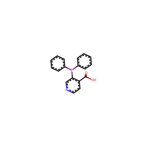 O=C(O)c1ccncc1P(c1ccccc1)c1ccccc1